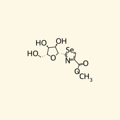 COC(=O)c1c[se]c([C@@H]2O[C@H](CO)[C@@H](O)[C@H]2O)n1